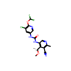 CO[C@H](C)c1c(NC(=O)Nc2cnc(OC(F)F)c(Cl)c2)cnc(C)c1C#N